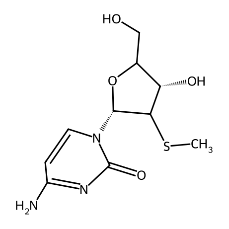 CSC1[C@@H](O)C(CO)O[C@H]1n1ccc(N)nc1=O